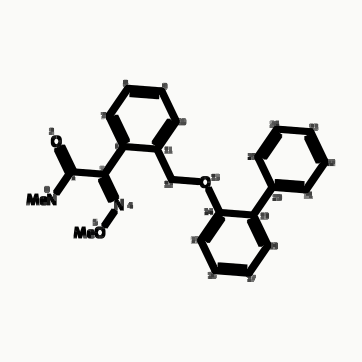 CNC(=O)C(=NOC)c1ccccc1COc1ccccc1-c1ccccc1